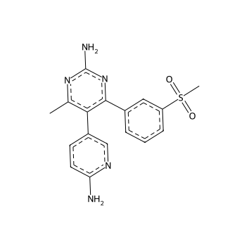 Cc1nc(N)nc(-c2cccc(S(C)(=O)=O)c2)c1-c1ccc(N)nc1